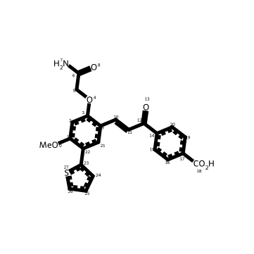 COc1cc(OCC(N)=O)c(/C=C/C(=O)c2ccc(C(=O)O)cc2)cc1-c1cccs1